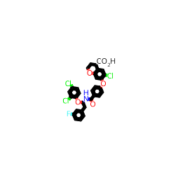 O=C(NC(Cc1cccc(F)c1)Oc1ccc(Cl)cc1Cl)c1ccc(Oc2cc3c(cc2Cl)C(C(=O)O)CCO3)cc1